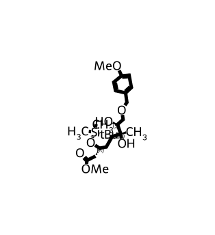 COC(=O)C[C@@H](CC[C@@](C)(O)[C@@H](O)COCc1ccc(OC)cc1)O[Si](C)(C)C(C)(C)C